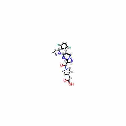 O=C(O)CC1CCN(C(=O)c2cnn3ccc(N4CCC[C@@H]4c4cc(F)ccc4F)nc23)CC1